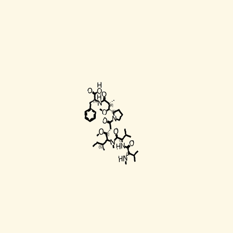 CC[C@H](C)C([C@@H](CC(=O)N1CCC[C@H]1C(OC)[C@@H](C)C(=O)N[C@@H](Cc1ccccc1)C(=O)O)OC)N(C)C(=O)[C@@H](NC(=O)[C@@H](NC)C(C)C)C(C)C